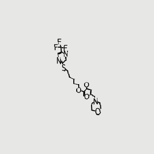 O=c1cc(CN2CCOCC2)occ1OCCCCCSc1cnc(C(F)(F)F)cn1